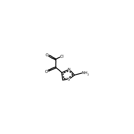 Nc1nc(C(=O)C(=O)Cl)cs1